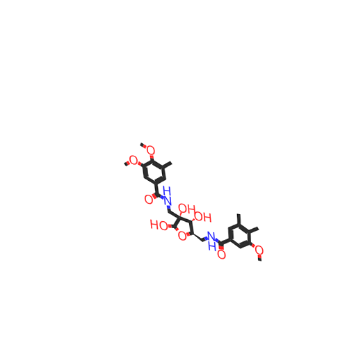 COc1cc(C(=O)NC[C@H]2OC(O)[C@@](O)(CNC(=O)c3cc(C)c(OC)c(OC)c3)[C@@H]2O)cc(C)c1C